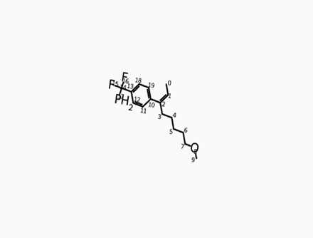 C/C=C(/CCCCCOC)c1ccc(C(F)(F)P)cc1